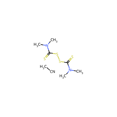 CC#N.CN(C)C(=S)SSC(=S)N(C)C